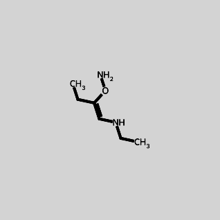 CCN/C=C(/CC)ON